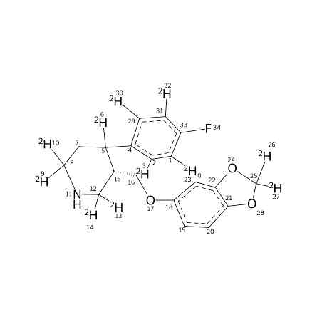 [2H]c1c([2H])c(C2([2H])CC([2H])([2H])NC([2H])([2H])[C@H]2COc2ccc3c(c2)OC([2H])([2H])O3)c([2H])c([2H])c1F